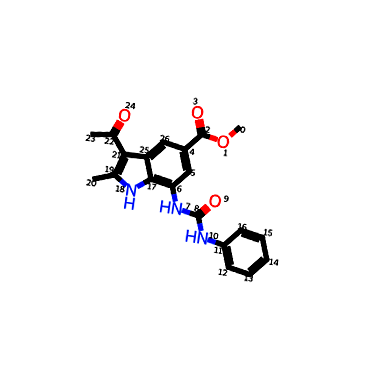 COC(=O)c1cc(NC(=O)Nc2ccccc2)c2[nH]c(C)c(C(C)=O)c2c1